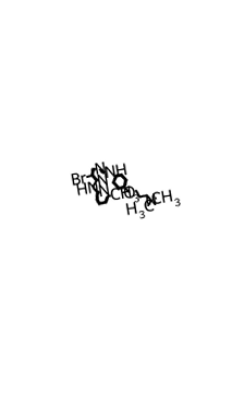 Cc1cccc(Nc2nc(Nc3ccc(OCCCN(C)C)cc3)ncc2Br)n1